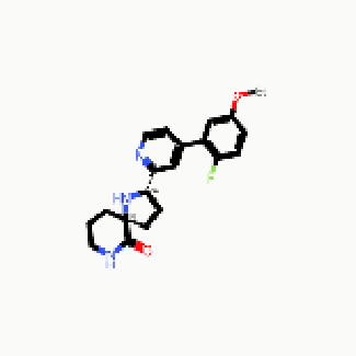 CCOc1ccc(F)c(-c2ccnc([C@@H]3CC[C@@]4(CCCNC4=O)N3)c2)c1